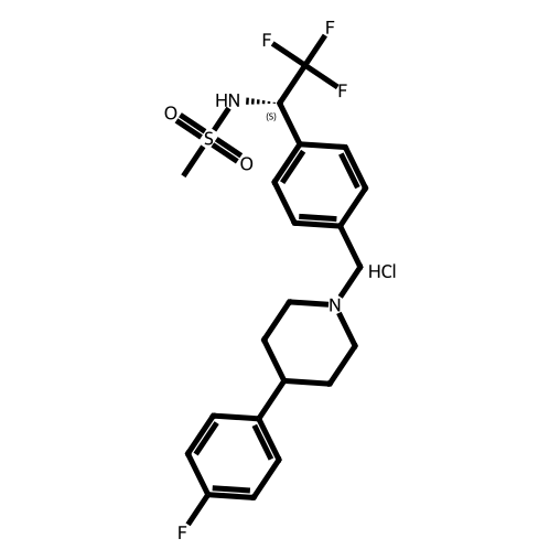 CS(=O)(=O)N[C@@H](c1ccc(CN2CCC(c3ccc(F)cc3)CC2)cc1)C(F)(F)F.Cl